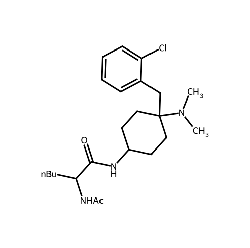 CCCCC(NC(C)=O)C(=O)NC1CCC(Cc2ccccc2Cl)(N(C)C)CC1